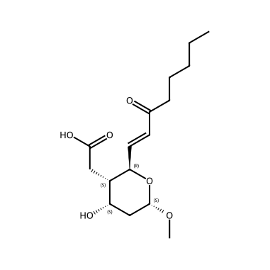 CCCCCC(=O)C=C[C@H]1O[C@H](OC)C[C@H](O)[C@@H]1CC(=O)O